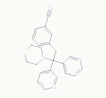 N#Cc1cccc(CC(c2cccnc2)(c2cccnc2)N2CCOCC2)c1